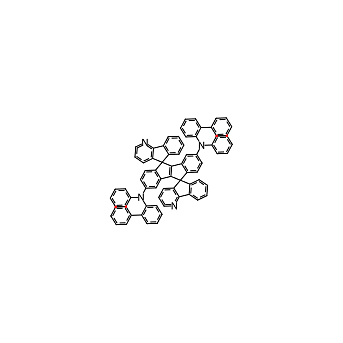 c1ccc(-c2ccccc2N(c2ccccc2)c2ccc3c(c2)C2=C(c4cc(N(c5ccccc5)c5ccccc5-c5ccccc5)ccc4C24c2ccccc2-c2ncccc24)C32c3ccccc3-c3ncccc32)cc1